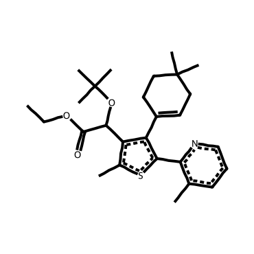 CCOC(=O)C(OC(C)(C)C)c1c(C)sc(-c2ncccc2C)c1C1=CCC(C)(C)CC1